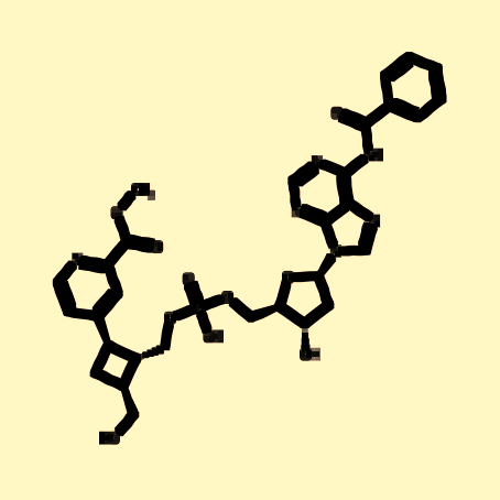 COC(=O)c1cc([C@@H]2C[C@H](CO)[C@H]2COP(=O)(O)OC[C@H]2O[C@@H](n3cnc4c(NC(=O)c5ccccc5)ncnc43)C[C@@H]2O)ccn1